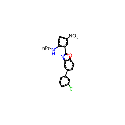 CCCNc1ccc([N+](=O)[O-])cc1-c1nc2cc(-c3cccc(Cl)c3)ccc2o1